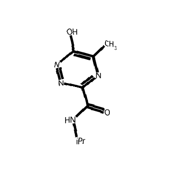 Cc1nc(C(=O)NC(C)C)nnc1O